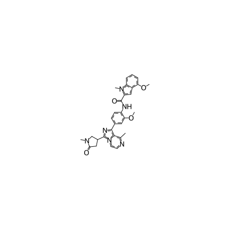 COc1cc(-c2nc(C3CC(=O)N(C)C3)n3ccnc(C)c23)ccc1NC(=O)c1cc2c(OC)cccc2n1C